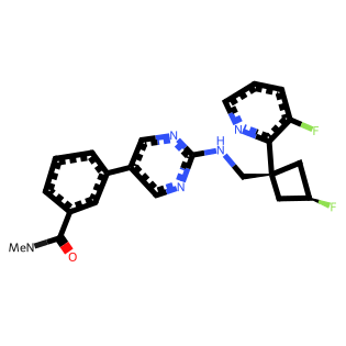 CNC(=O)c1cccc(-c2cnc(NC[C@]3(c4ncccc4F)C[C@H](F)C3)nc2)c1